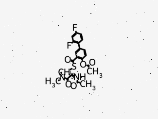 CC(=O)N[C@@H](CSC(=O)c1cc(-c2ccc(F)cc2F)ccc1OC(C)=O)C(=O)N(C)C